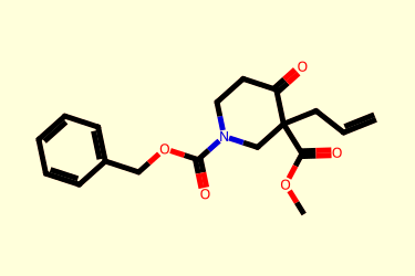 C=CCC1(C(=O)OC)CN(C(=O)OCc2ccccc2)CCC1=O